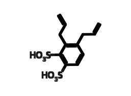 C=CCc1ccc(S(=O)(=O)O)c(S(=O)(=O)O)c1CC=C